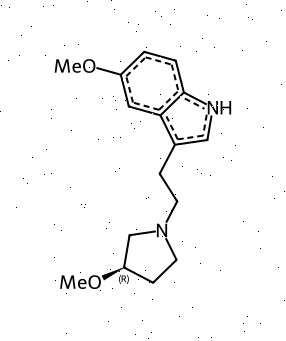 COc1ccc2[nH]cc(CCN3CC[C@@H](OC)C3)c2c1